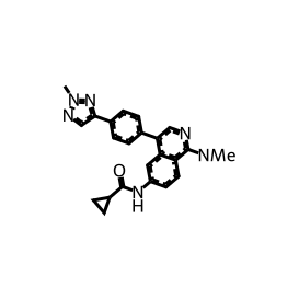 CNc1ncc(-c2ccc(-c3cnn(C)n3)cc2)c2cc(NC(=O)C3CC3)ccc12